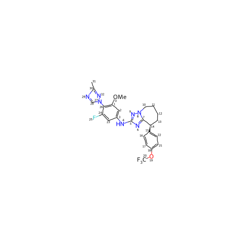 COc1cc(Nc2nc3n(n2)CCCC[C@H]3c2ccc(OC(F)(F)F)cc2)cc(F)c1-n1cnc(C)n1